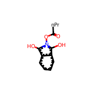 CCCC(=O)On1c(O)c2ccccc2c1O